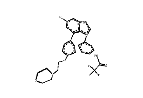 N#Cc1cc(-c2ccc(OCCN3CCOCC3)cc2)c2c(c1)ncn2-c1ccccc1.O=C(O)C(F)(F)F